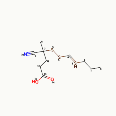 CCC[SH]=CSSC(C)(C#N)CCC(=O)O